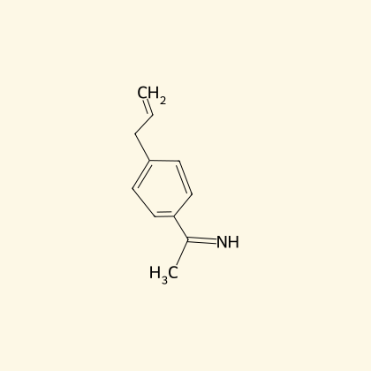 C=CCc1ccc(C(C)=N)cc1